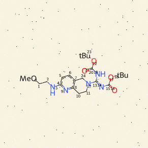 COCCNc1ccc2c(n1)CCN(C(=NC(=O)OC(C)(C)C)NC(=O)OC(C)(C)C)C2